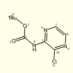 CC(C)(C)OC(=O)Nc1nccnc1Cl